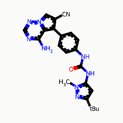 Cn1nc(C(C)(C)C)cc1NC(=O)Nc1ccc(-c2c(C#N)cn3ncnc(N)c23)cc1